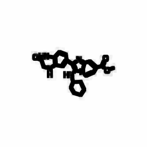 COC(=O)c1ccn2c(NC3CCCCC3)c(-c3ccc4c(c3)NCC(=O)N4)nc2c1